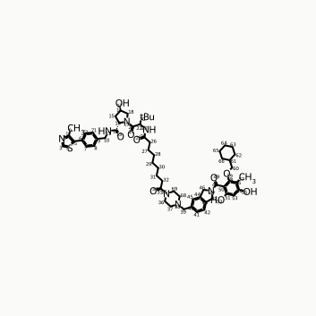 Cc1ncsc1-c1ccc(CNC(=O)[C@@H]2C[C@@H](O)CN2C(=O)C(NC(=O)CCCCCCCC(=O)N2CCN(Cc3ccc4c(c3)CN(C(=O)c3c(O)cc(O)c(C)c3OCC3CCCCC3)C4)CC2)C(C)(C)C)cc1